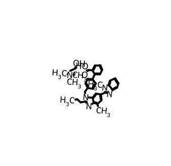 CCCc1nc2c(C)cc(-c3nc4ccccc4n3C)cc2n1Cc1ccc(-c2ccccc2C(=O)O)cc1.C[N+](C)(C)CCO